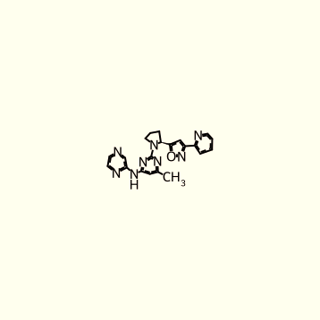 Cc1cc(Nc2cnccn2)nc(N2CCC[C@H]2c2cc(-c3ccccn3)no2)n1